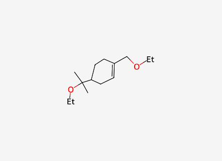 CCOCC1=CCC(C(C)(C)OCC)CC1